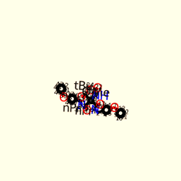 CCCN(Cc1ccc(Oc2ccccc2)cc1)C(=O)C1C(NC(=O)OC(C)(C)C)C(C(=O)OC)C1C(=O)N(CCC)Cc1ccc(Oc2ccccc2)cc1